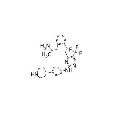 C=C(N)Cc1ccccc1CCc1nc(Nc2ccc(C3CCNCC3)cc2)ncc1C(F)(F)F